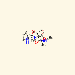 CCNC(=O)[C@@](CC(C)C)(C(=O)OC(C)(C)C)N(CC)C(=O)[C@@H]1CCCN1